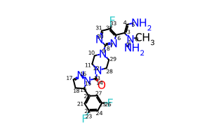 CN(N)/C(=C\N)c1nc(N2CCN(C(=O)N3N=CCC3c3cc(F)cc(F)c3)CC2)ncc1F